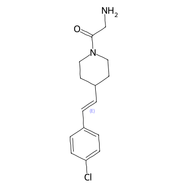 NCC(=O)N1CCC(/C=C/c2ccc(Cl)cc2)CC1